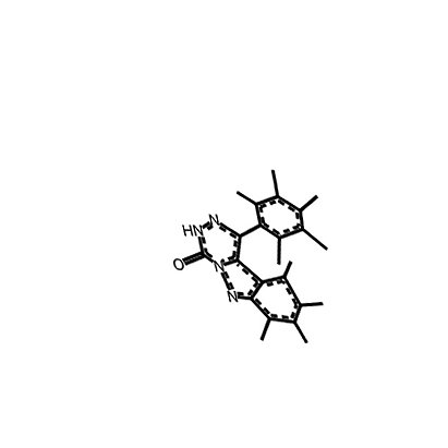 Cc1c(C)c(C)c(-c2n[nH]c(=O)n3nc4c(C)c(C)c(C)c(C)c4c23)c(C)c1C